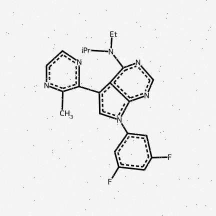 CCN(c1ncnc2c1c(-c1nccnc1C)cn2-c1cc(F)cc(F)c1)C(C)C